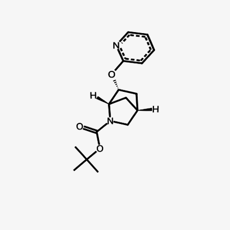 CC(C)(C)OC(=O)N1C[C@H]2C[C@@H](Oc3ccccn3)[C@@H]1C2